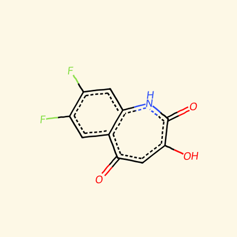 O=c1[nH]c2cc(F)c(F)cc2c(=O)cc1O